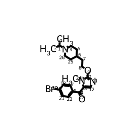 CC(C)N1CCC(CCOc2ncc(C(=O)c3ccc(Br)cc3)n2C)CC1